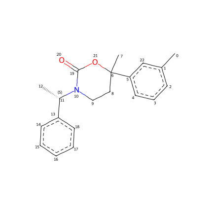 Cc1cccc(C2(C)CCN([C@@H](C)c3ccccc3)C(=O)O2)c1